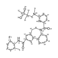 Cc1cccc(F)c1NC(=O)c1cc2c(s1)-c1ccccc1N(C(=O)c1cccc(N(C)CC(C)(C)S(C)(=O)=O)n1)CC2